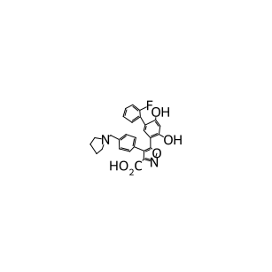 O=C(O)c1noc(-c2cc(-c3ccccc3F)c(O)cc2O)c1-c1ccc(CN2CCCC2)cc1